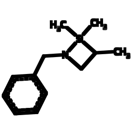 CC1CN(Cc2ccccc2)[Si]1(C)C